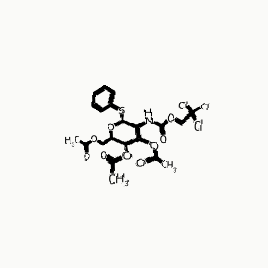 CC(=O)OCC1O[C@@H](Sc2ccccc2)C(NC(=O)OCC(Cl)(Cl)Cl)C(OC(C)=O)[C@H]1OC(C)=O